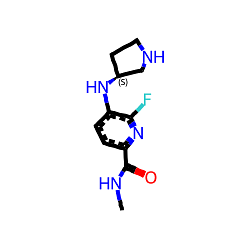 CNC(=O)c1ccc(N[C@H]2CCNC2)c(F)n1